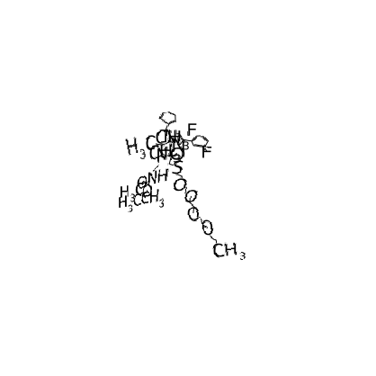 CCCOCCOCCOCCOCCSCC(=O)N(CCCNC(=O)OC(C)(C)C)[C@@H](c1nc(-c2cc(F)ccc2F)cn1Cc1ccccc1)C(C)(C)C